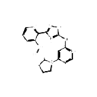 CC(C)Oc1cccnc1-c1nsc(Nc2cc(N3CCCC3)ccn2)n1